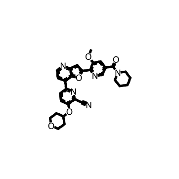 COc1cc(C(=O)N2CCCCC2)cnc1-c1cc2nccc(-c3ccc(OC4CCOCC4)c(C#N)n3)c2o1